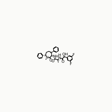 C[C@H](NC(=O)[C@H](O)c1cc(F)cc(F)c1)C(=O)N[C@@H]1C(=O)N(C)[C@H](c2ccccc2)CC[C@H]1c1ccccc1